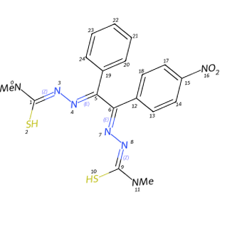 CN/C(S)=N/N=C(/C(=N/N=C(\S)NC)c1ccc([N+](=O)[O-])cc1)c1ccccc1